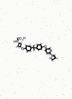 CC(C)(c1ccc(Oc2ccc(-n3cccn3)nc2)cc1)c1ccc(O[C@H]2C[C@@H](NC(=O)O)C2)cc1